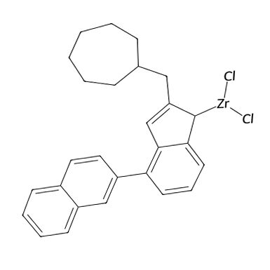 [Cl][Zr]([Cl])[CH]1C(CC2CCCCCC2)=Cc2c(-c3ccc4ccccc4c3)cccc21